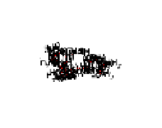 CN(C)[C@@H]1C(O)=C(C(N)=O)C(=O)[C@@]2(O)C(O)=C3C(=O)c4c(O)cccc4[C@@](C)(O)[C@H]3C[C@@H]12.C[C@@H]1NC(=O)[C@@H](N)CNC(=O)[C@H]([C@H]2CCN=C(N)N2)NC(=O)/C(=C\NC(N)=O)NC(=O)[C@H](CNC(=O)C[C@@H](N)CCCN)NC1=O.NCCC[C@H](N)CC(=O)NC[C@@H]1NC(=O)[C@H](CO)NC(=O)[C@@H](N)CNC(=O)[C@H]([C@H]2CCN=C(N)N2)NC(=O)/C(=C\NC(N)=O)NC1=O